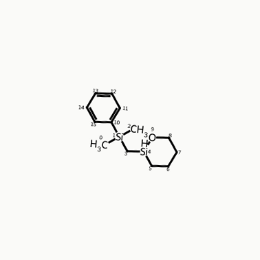 C[Si](C)(C[SiH]1CCCCO1)c1ccccc1